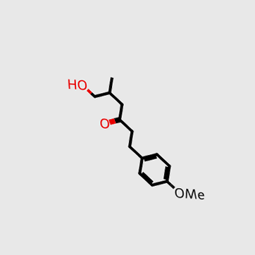 COc1ccc(CCC(=O)CC(C)CO)cc1